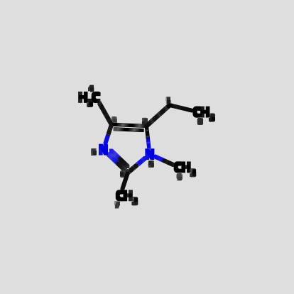 CCc1c(C)nc(C)n1C